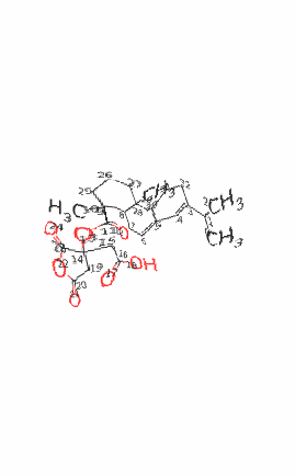 CC(C)C1=CC2=CCC3C(C)(C(=O)OC4(CC(=O)O)CC(=O)OC4=O)CCCC3(C)C2CC1